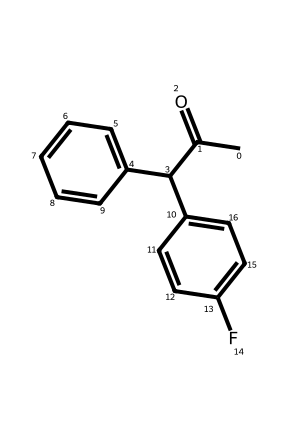 CC(=O)C(c1ccccc1)c1ccc(F)cc1